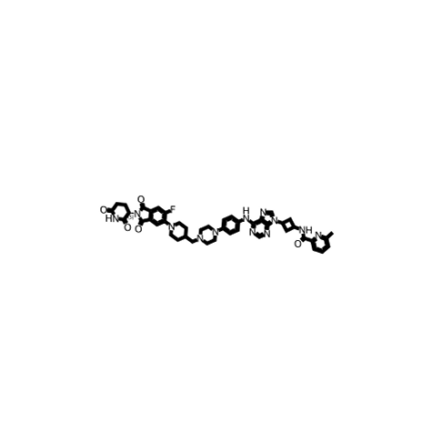 Cc1cccc(C(=O)NC2CC(n3cnc4c(Nc5ccc(N6CCN(CC7CCN(c8cc9c(cc8F)C(=O)N([C@H]8CCC(=O)NC8=O)C9=O)CC7)CC6)cc5)ncnc43)C2)n1